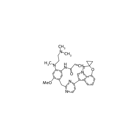 C=CC(=O)Nc1cc(Cc2nccc(-c3cn4c5c(cccc35)OC3(CC3)C4)n2)c(OC)cc1N(C)CCN(C)C